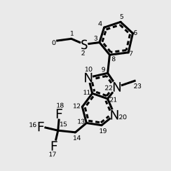 CCSc1ccccc1-c1nc2cc(CC(F)(F)F)cnc2n1C